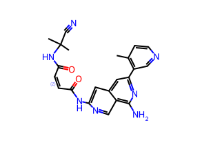 Cc1ccncc1-c1cc2cc(NC(=O)/C=C\C(=O)NC(C)(C)C#N)ncc2c(N)n1